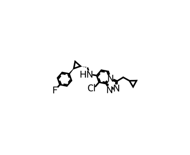 Fc1ccc([C@H]2C[C@@H]2CNc2ccn3c(CC4CC4)nnc3c2Cl)cc1